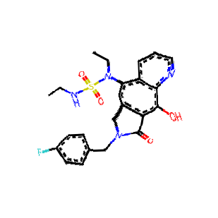 CCNS(=O)(=O)N(CC)c1c2c(c(O)c3ncccc13)C(=O)N(Cc1ccc(F)cc1)C2